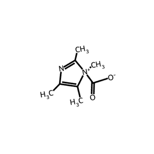 CC1=NC(C)=C(C)[N+]1(C)C(=O)[O-]